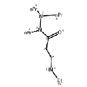 CCCN(CCC)N(CCC)C(=O)CCNCC